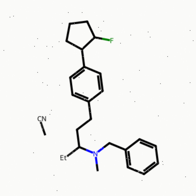 CC#N.CCC(CCc1ccc(C2CCCC2F)cc1)N(C)Cc1ccccc1